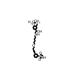 CC1(C)OCc2cc([C@@H](O)CNCCCCCCOCCC#Cc3cccc(N4C(=O)CNC4=O)c3)ccc2O1